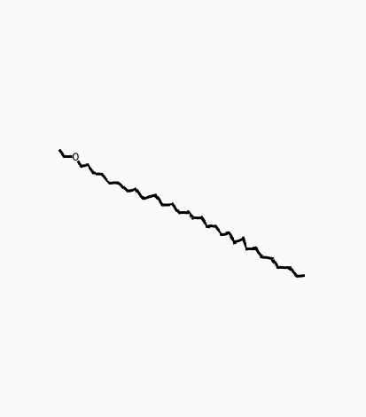 CCCCCCCCCCCCCCCCCCCCCCCCCCCCCCOCC